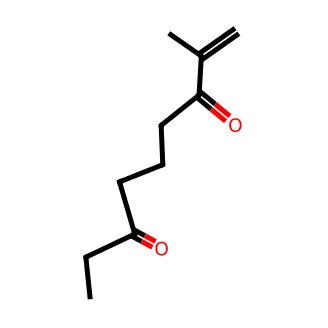 C=C(C)C(=O)CCCC(=O)CC